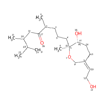 CC(CCC[C@]1(C)OCC(=CCO)CC[C@H]1O)C(=O)CC(C)C(C)C